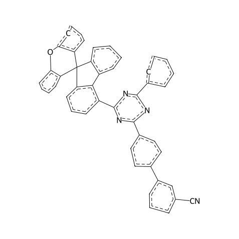 N#Cc1cccc(-c2ccc(-c3nc(-c4ccccc4)nc(-c4cccc5c4-c4ccccc4C54c5ccccc5Oc5ccccc54)n3)cc2)c1